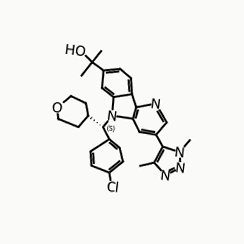 Cc1nnn(C)c1-c1cnc2c3ccc(C(C)(C)O)cc3n([C@H](c3ccc(Cl)cc3)C3CCOCC3)c2c1